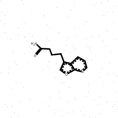 NC(=O)CCCc1coc2ncccc12